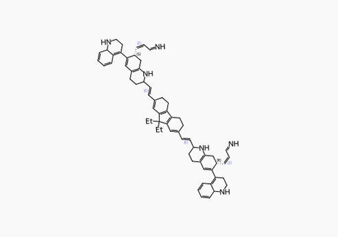 CCC1(CC)C2=C(CCC(/C=C/C3CCC4=C(C[C@@H](/C=C\C=N)C(C5=C6C=CC=CC6NCC5)=C4)N3)=C2)C2=C1C=C(/C=C/C1CCC3=C(C[C@H](/C=C\C=N)C(C4=C5C=CC=CC5NCC4)=C3)N1)CC2